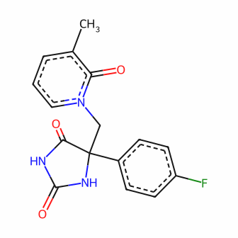 Cc1cccn(CC2(c3ccc(F)cc3)NC(=O)NC2=O)c1=O